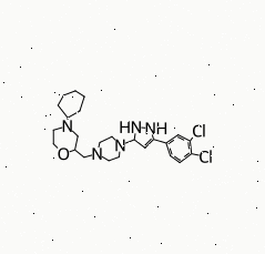 Clc1ccc(C2=CC(N3CCN(CC4CN(C5CCCCC5)CCO4)CC3)NN2)cc1Cl